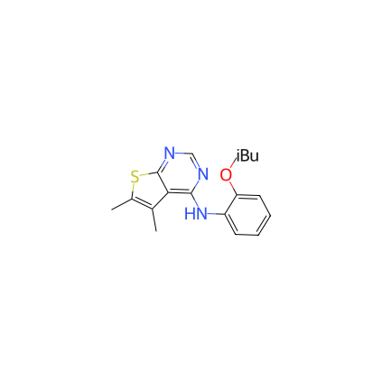 CCC(C)Oc1ccccc1Nc1ncnc2sc(C)c(C)c12